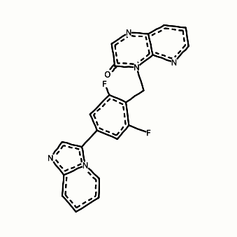 O=c1cnc2cccnc2n1Cc1c(F)cc(-c2cnc3ccccn23)cc1F